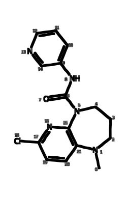 CN1CCCN(C(=O)Nc2cccnc2)c2nc(Cl)ccc21